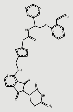 C=Cc1ccccc1OCC(NC(=O)Cn1ccc(CNc2cccc3c2C(=O)N(C2CCC(=C)NC2=O)C3=O)c1)c1cccnc1